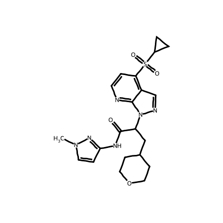 Cn1ccc(NC(=O)C(CC2CCOCC2)n2ncc3c(S(=O)(=O)C4CC4)ccnc32)n1